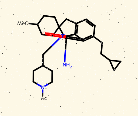 COC1CCC2(CC1)Cc1ccc(CCC3CC3)cc1C21N=C(N)N(CC2CCN(C(C)=O)CC2)C1=O